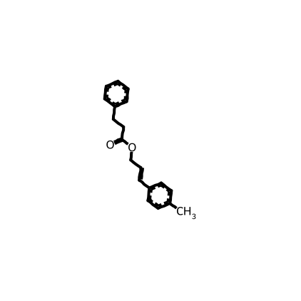 Cc1ccc(C=CCOC(=O)CCc2ccccc2)cc1